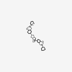 c1ccc(N2COc3ccc(C4CC5C(C4)C4C6CC5[C@@]64c4ccc5c(c4)CN(c4ccccc4)CO5)cc3C2)cc1